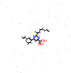 C=CC/C=C\C=C(/C)c1nc(B(O)O)cc(C(/C=C\C)=C/CC=C)n1